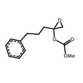 COC(=O)OC1(CCCc2ccccc2)CO1